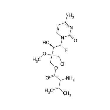 CO[C@](CCl)(COC(=O)C(N)C(C)C)[C@@H](O)[C@@H](F)n1ccc(N)nc1=O